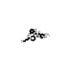 CC1C=C(C(=O)N(N)C2Nc3cccc(Cl)c3N2[C@@H]2CCCCN(C(=O)/C=C/CCl)C2)C=CN1